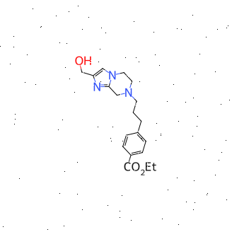 CCOC(=O)c1ccc(CCCN2CCn3cc(CO)nc3C2)cc1